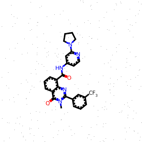 Cn1c(-c2cccc(C(F)(F)F)c2)nc2c(C(=O)Nc3ccnc(N4CCCC4)c3)cccc2c1=O